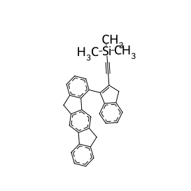 C[Si](C)(C)C#CC1=C(c2cccc3c2-c2cc4c(cc2C3)-c2ccccc2C4)c2ccccc2C1